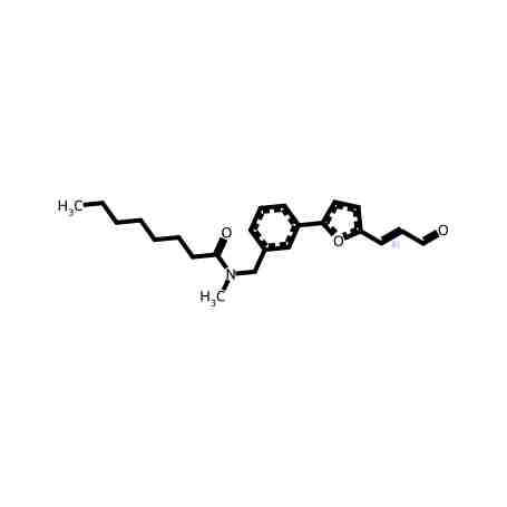 CCCCCCCC(=O)N(C)Cc1cccc(-c2ccc(/C=C/C=O)o2)c1